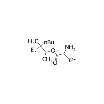 CCCCC(C)(CC)C(C)OC(=O)C(N)C(C)C